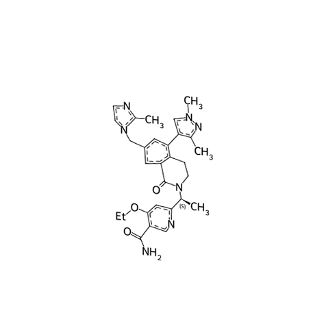 CCOc1cc([C@H](C)N2CCc3c(cc(Cn4ccnc4C)cc3-c3cn(C)nc3C)C2=O)ncc1C(N)=O